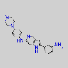 CN1CCN(c2ccc(Nc3cc4[nH]c(-c5cccc(N)c5)cc4cn3)cc2)CC1